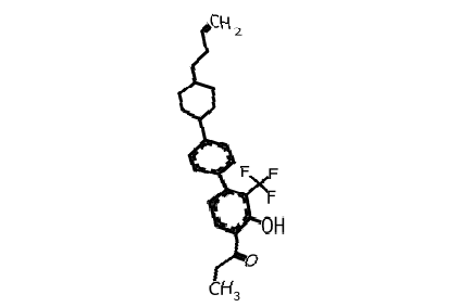 C=CCCC1CCC(c2ccc(-c3ccc(C(=O)CC)c(O)c3C(F)(F)F)cc2)CC1